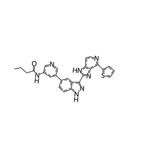 CCCC(=O)Nc1cncc(-c2ccc3[nH]nc(-c4nc5c(-c6cccs6)nccc5[nH]4)c3c2)c1